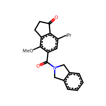 COc1c(C(=O)N2Cc3ccccc3C2)cc(C(C)C)c2c1CCC2=O